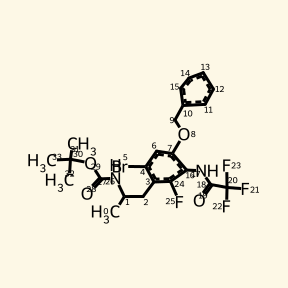 CC(Cc1c(Br)cc(OCc2ccccc2)c(NC(=O)C(F)(F)F)c1F)NC(=O)OC(C)(C)C